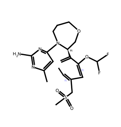 C=C(/C(=C\C(=C/C)CS(C)(=O)=O)OC(F)F)[C@@H]1COCCCN1c1cc(C)nc(N)n1